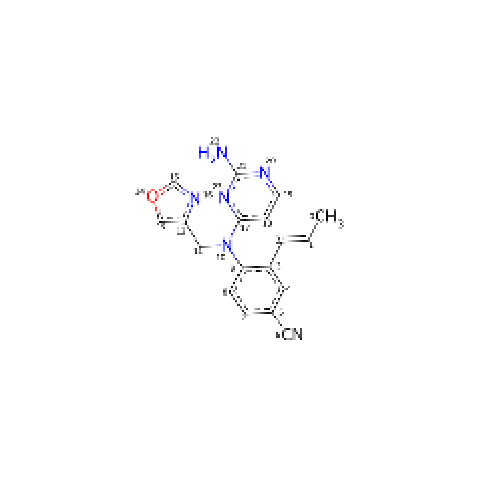 CC=Cc1cc(C#N)ccc1N(Cc1cocn1)c1ccnc(N)n1